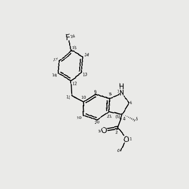 COC(=O)[C@]1(C)CNc2cc(Cc3ccc(F)cc3)ccc21